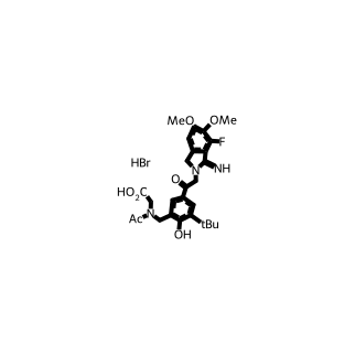 Br.COc1cc2c(c(F)c1OC)C(=N)N(CC(=O)c1cc(CN(CC(=O)O)C(C)=O)c(O)c(C(C)(C)C)c1)C2